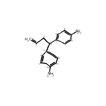 C=CCC(c1ccc(N)cc1)c1ccc(N)cc1